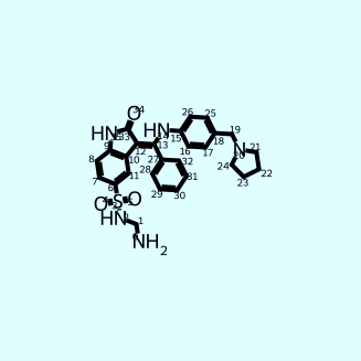 NCNS(=O)(=O)c1ccc2c(c1)/C(=C(/Nc1ccc(CN3CCCC3)cc1)c1ccccc1)C(=O)N2